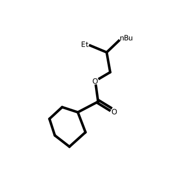 CCCCC(CC)COC(=O)C1CCCCC1